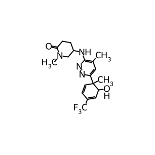 Cc1cc(C2(C)C=CC(C(F)(F)F)=CC2O)nnc1NC1CCC(=O)N(C)C1